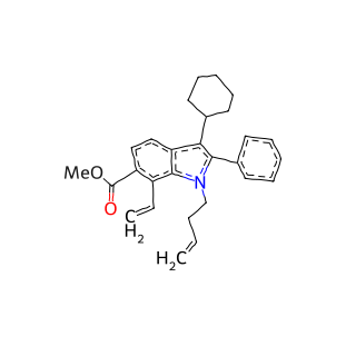 C=CCCn1c(-c2ccccc2)c(C2CCCCC2)c2ccc(C(=O)OC)c(C=C)c21